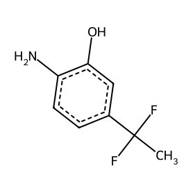 CC(F)(F)c1ccc(N)c(O)c1